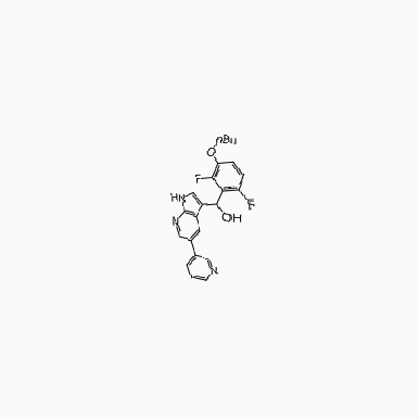 CCCCOc1ccc(F)c(C(O)c2c[nH]c3ncc(-c4cccnc4)cc23)c1F